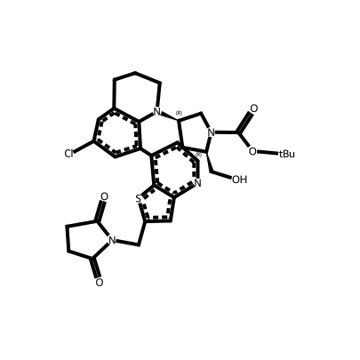 CC(C)(C)OC(=O)N1C[C@H](N2CCCc3cc(Cl)cc(-c4ccnc5cc(CN6C(=O)CCC6=O)sc45)c32)C[C@@H]1CO